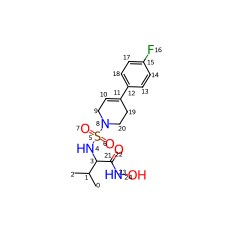 CC(C)C(NS(=O)(=O)N1CC=C(c2ccc(F)cc2)CC1)C(=O)NO